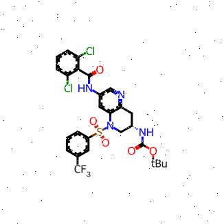 CC(C)(C)OC(=O)N[C@H]1Cc2ncc(NC(=O)c3c(Cl)cccc3Cl)cc2N(S(=O)(=O)c2cccc(C(F)(F)F)c2)C1